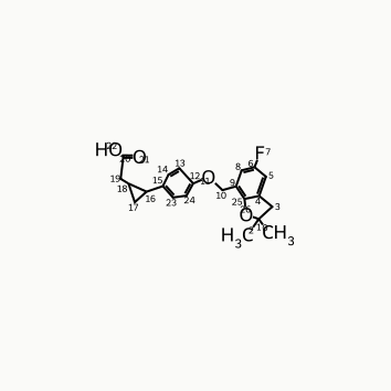 CC1(C)Cc2cc(F)cc(COc3ccc(C4CC4CC(=O)O)cc3)c2O1